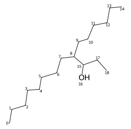 CCCCCCCCC(CCCCCC)C(O)CC